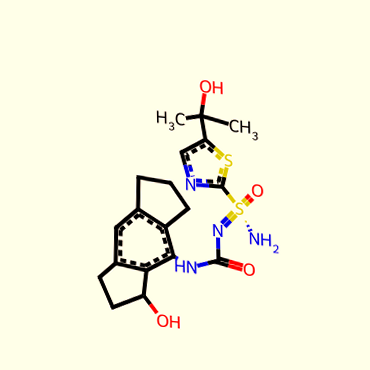 CC(C)(O)c1cnc([S@@](N)(=O)=NC(=O)Nc2c3c(cc4c2C(O)CC4)CCC3)s1